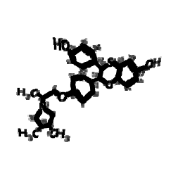 C[C@@H]1CN([C@@H](C)COC2=CCC([C@@H]3Oc4ccc(O)cc4S[C@@H]3c3ccc(O)cc3)C=C2)C[C@@H]1C